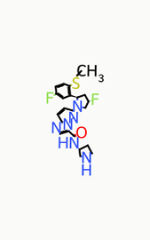 CCSc1ccc(F)cc1[C@H]1C[C@H](F)CN1c1ccc2ncc(C(=O)N[C@H]3CCNC3)n2n1